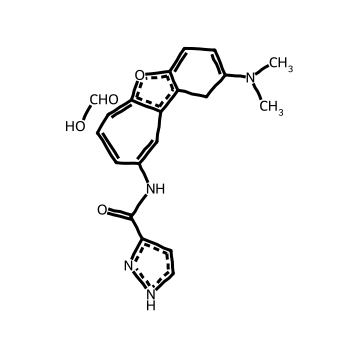 CN(C)C1=CC=c2oc3c(c2C1)C=C(NC(=O)c1cc[nH]n1)C=CC=3.O=CO